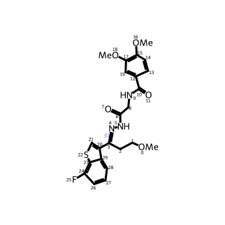 COCC/C(=N\NC(=O)CNC(=O)c1ccc(OC)c(OC)c1)c1csc2c(F)cccc12